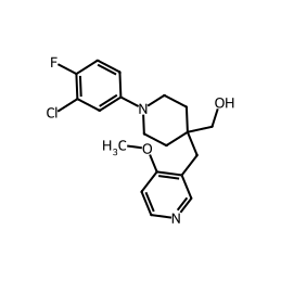 COc1ccncc1CC1(CO)CCN(c2ccc(F)c(Cl)c2)CC1